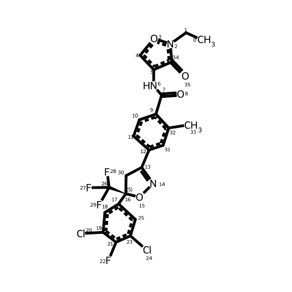 CCn1occ(NC(=O)c2ccc(C3=NO[C@@](c4cc(Cl)c(F)c(Cl)c4)(C(F)(F)F)C3)cc2C)c1=O